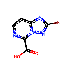 O=C(O)c1nccc2nc(Br)nn12